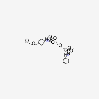 COP(=O)(/N=N/c1ccccc1)OCCOCCOP(=O)(/N=N/c1ccc(COCC2CO2)cc1)OC